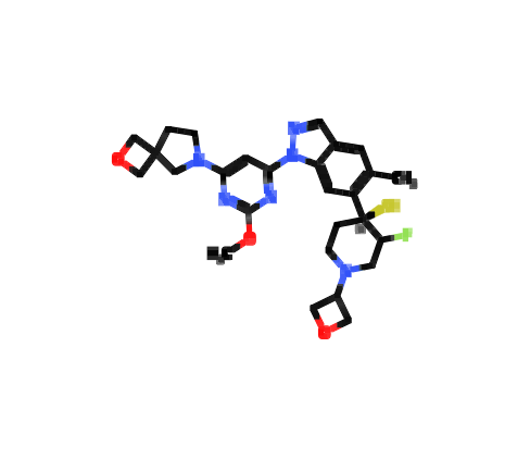 COc1nc(N2CCC3(COC3)C2)cc(-n2ncc3cc(C)c([C@@]4(S)CCN(C5COC5)CC4F)cc32)n1